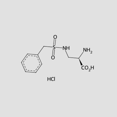 Cl.N[C@H](CNS(=O)(=O)Cc1ccccc1)C(=O)O